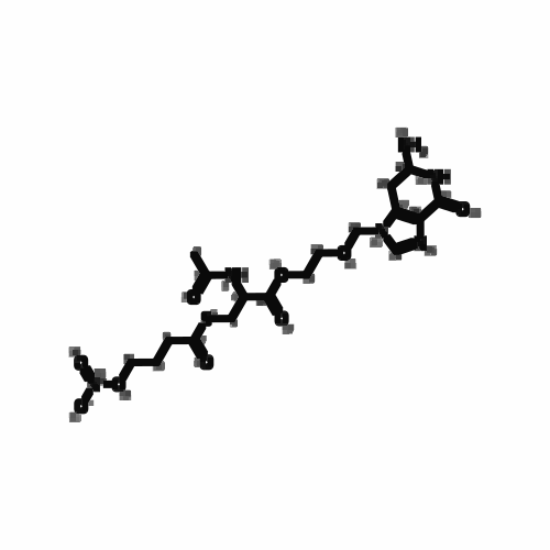 CC(=O)NC(CSC(=O)CCCO[N+](=O)[O-])C(=O)OCCOCn1cnc2c1CC(N)NC2=O